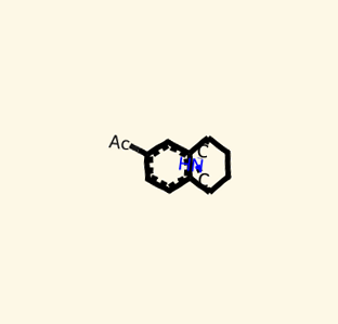 CC(=O)c1ccc2c(c1)C1CCC2CNC1